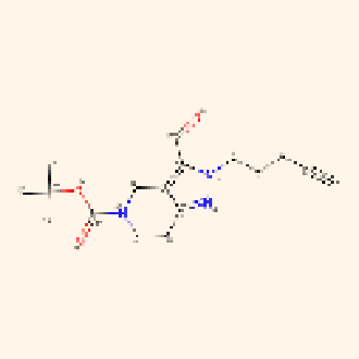 C#CCCCn1nc2c(c1C=O)CN(C(=O)OC(C)(C)C)CC2